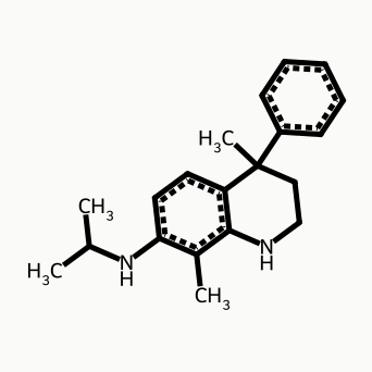 Cc1c(NC(C)C)ccc2c1NCCC2(C)c1ccccc1